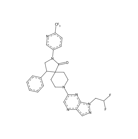 O=C1N(c2ccc(C(F)(F)F)nc2)CC(c2ccccc2)C12CCN(c1cnc3cnn(CC(F)F)c3n1)CC2